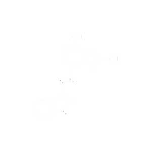 Cc1cc2c(O)ccc(/N=N/c3onc4ccccc34)c2s1